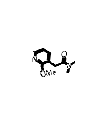 COc1n[c]ccc1CC(=O)N(C)C